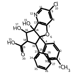 Cc1ccc(C23Oc4cc(Cl)cnc4C2(O)C(O)C(C(=O)O)C3c2ccccc2)cc1